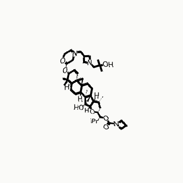 CC(C)[C@@H](OC(=O)N1CCC1)[C@H]1C[C@@H](C)[C@H]2[C@H](O1)[C@H](O)[C@@]1(C)[C@@H]3CC[C@H]4C(C)(C)[C@@H](O[C@H]5CN(CC6CN(CC(C)(C)O)C6)CCO5)CC[C@@]45C[C@@]35CC[C@]21C